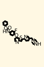 O=C(Nc1ccc(Oc2ccnc3cc(-c4ccc(CN5CCNCC5)cn4)sc23)c(F)c1)Oc1ccccc1